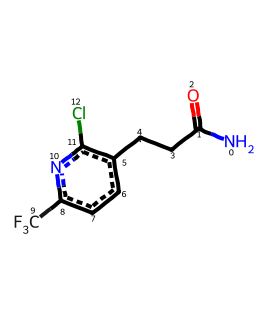 NC(=O)C[CH]c1ccc(C(F)(F)F)nc1Cl